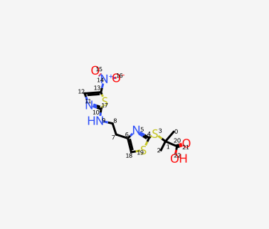 CC(C)(Sc1nc(CCNc2ncc([N+](=O)[O-])s2)cs1)C(=O)O